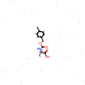 Cc1ccc(COC(=O)N[C@H](C)C(=O)O)cc1